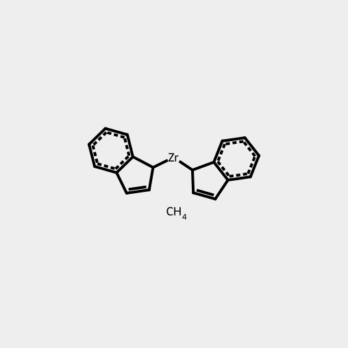 C.C1=C[CH]([Zr][CH]2C=Cc3ccccc32)c2ccccc21